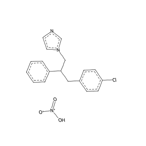 Clc1ccc(CC(Cn2ccnc2)c2ccccc2)cc1.O=[N+]([O-])O